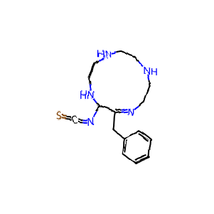 S=C=NC1NCCNCCNCCN=C1Cc1ccccc1